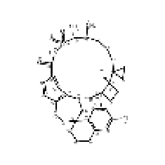 C[C@@H]1[C@@H](C)CCCC2(CC2)[C@@H]2CC[C@H]2CN2C[C@@]3(CCCc4cc(Cl)ccc43)COc3ccc(cc32)C(=O)NS1(=O)=O